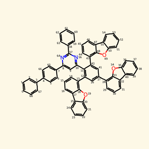 c1ccc(-c2ccc(-c3cc(-c4c(-c5cccc6c5oc5ccccc56)cc(-c5cccc6c5oc5ccccc56)cc4-c4cccc5c4oc4ccccc45)nc(-c4ccccc4)n3)cc2)cc1